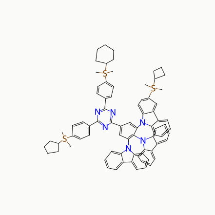 CS(C)(c1ccc(-c2nc(-c3ccc(S(C)(C)C4CCCC4)cc3)nc(-c3cc(-n4c5ccccc5c5ccccc54)c(-n4c5ccccc5c5ccccc54)c(-n4c5ccccc5c5cc(S(C)(C)C6CCC6)ccc54)c3)n2)cc1)C1CCCCC1